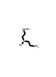 CC(=O)NCCN(CCN)C(C)=O